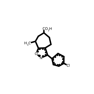 CC1CC(C(=O)O)CCc2c(-c3ccc(Cl)cc3)noc21